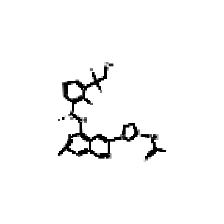 CC(=O)N[C@@H]1CCN(c2cc3c(N[C@H](C)c4cccc(C(F)(F)CO)c4F)nc(C)nc3cn2)C1